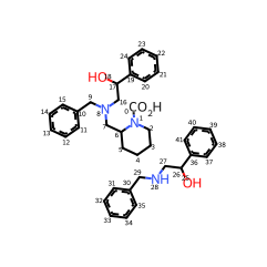 O=C(O)N1CCCCC1CN(Cc1ccccc1)CC(O)c1ccccc1.OC(CNCc1ccccc1)c1ccccc1